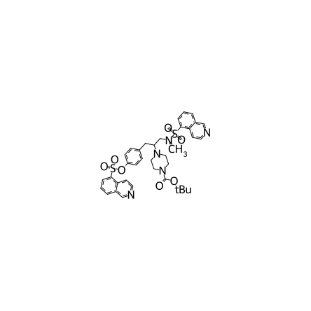 CN(CC(Cc1ccc(OS(=O)(=O)c2cccc3cnccc23)cc1)N1CCN(C(=O)OC(C)(C)C)CC1)S(=O)(=O)c1cccc2cnccc12